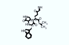 CC(C)SC(=O)[C@H](CCC(=O)C=N)NC(=O)[C@H](Cc1c[nH]c2ccccc12)NC1CCNC1=O